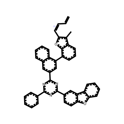 C=C/C=C\c1oc2c(-c3cc(-c4nc(-c5ccccc5)nc(-c5ccc6oc7ccccc7c6c5)n4)cc4ccccc34)cccc2c1C